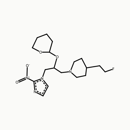 O=[N+]([O-])c1nccn1CC(CN1CCC(CCF)CC1)OC1CCCCO1